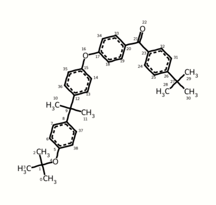 CC(C)(C)Oc1ccc(C(C)(C)c2ccc(Oc3ccc(C(=O)c4ccc(C(C)(C)C)cc4)cc3)cc2)cc1